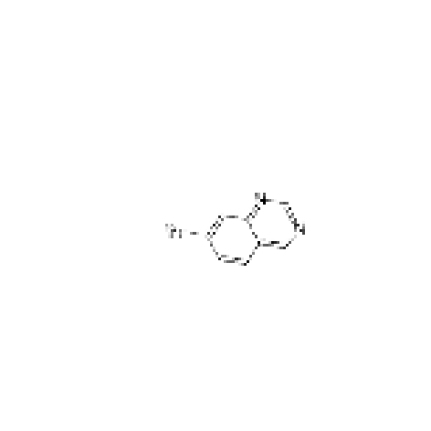 CC(C)c1ccc2cncnc2c1